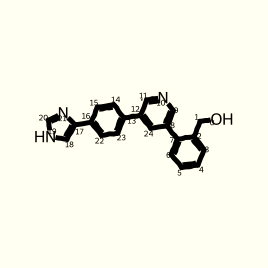 OCc1ccccc1-c1cn[c]c(-c2ccc(-c3c[nH]cn3)cc2)c1